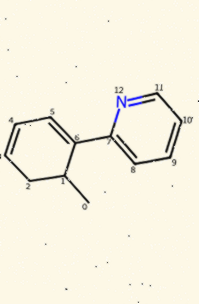 CC1CC=CC=C1c1ccccn1